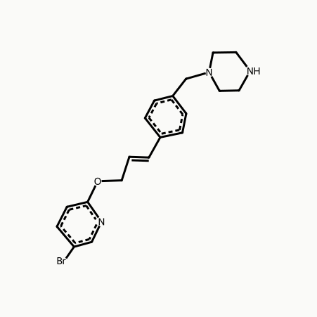 Brc1ccc(OCC=Cc2ccc(CN3CCNCC3)cc2)nc1